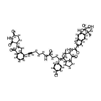 CC(C)(C)C(NC(=O)c1cc2cc(C(F)(F)P(=O)(O)O)ccc2s1)C(=O)N1CCC[C@H]1C(=O)N(CCC(=O)NCCCC#Cc1cccc2c1CN(C1CCC(=O)NC1=O)C2=O)c1ccc(Cl)cc1